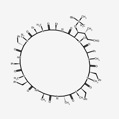 CC[C@@H]1C(=O)N(C)[C@@H](CC(C)C)C(=O)N[C@H](C(C)C)C(=O)N(C)[C@H](CC(C)C)C(=O)N[C@H](C)C(=O)N[C@@H](C)C(=O)N(C)[C@H](CC(C)C)C(=O)N(C)[C@H](CC(C)C)C(=O)N(C)C(C(C)C)C(=O)N(C)[C@H]([C@@H](O[Si](C)(C)C(C)(C)C)[C@H](C)CC=O)C(=O)N[C@H](CC)C(=O)N1C